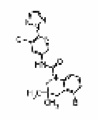 CC1(C)Cc2c(Br)cccc2N(C(=O)Nc2cnc(-n3nccn3)c(Cl)c2)C1